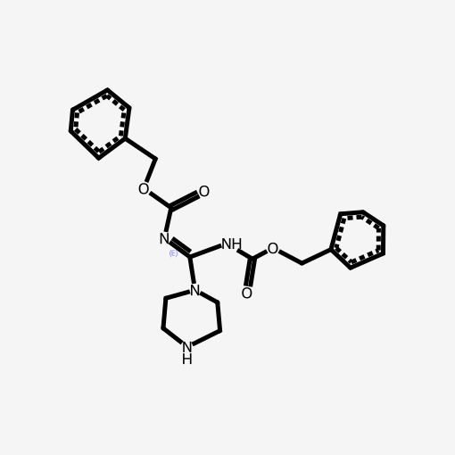 O=C(/N=C(\NC(=O)OCc1ccccc1)N1CCNCC1)OCc1ccccc1